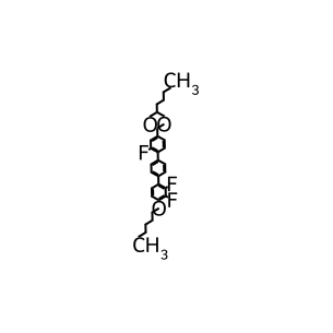 CCCCCCOc1ccc(-c2ccc(-c3ccc(C4OCC(CCCCC)CO4)cc3F)cc2)c(F)c1F